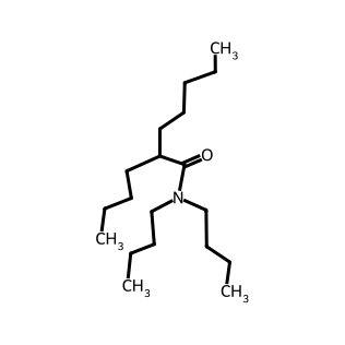 CCCCCC(CCCC)C(=O)N(CCCC)CCCC